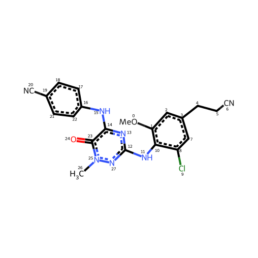 COc1cc(CCC#N)cc(Cl)c1Nc1nc(Nc2ccc(C#N)cc2)c(=O)n(C)n1